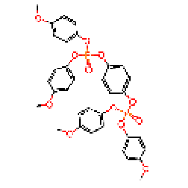 COc1ccc(OP(=O)(Oc2ccc(OC)cc2)Oc2ccc(OP(=O)(Oc3ccc(OC)cc3)Oc3ccc(OC)cc3)cc2)cc1